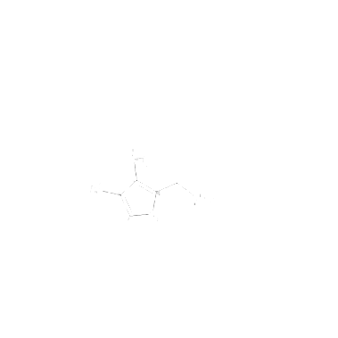 Nc1c(Br)csc1CC=O